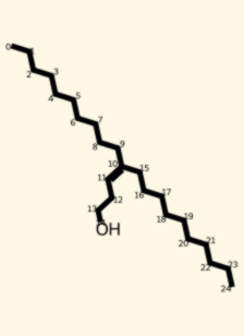 CCCCCCCCCCC(=CCCO)CCCCCCCCCC